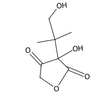 CC(C)(CO)C1(O)C(=O)COC1=O